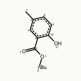 CCCCOC(=O)c1cc(C)ccc1O